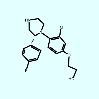 OCCOc1ccc(N2CCNC[C@H]2c2ccc(F)cc2)c(Cl)c1